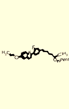 C=CCOc1ccc2nc(-c3ccc(C=CCCCC(C)OCCCCC)cc3F)ccc2c1